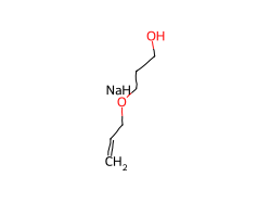 C=CCOCCCO.[NaH]